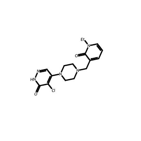 CCn1cccc(CN2CCN(c3cn[nH]c(=O)c3Cl)CC2)c1=O